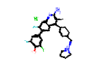 CC(=O)c1c(N)nc2cc(F)c(-c3cc(F)c(O)c(Cl)c3)cc2c1C1CCC(CN2CCCC2)CC1.Cl